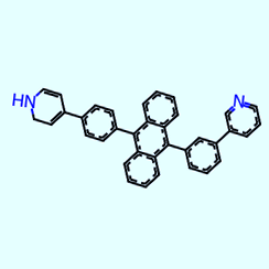 C1=CC(c2ccc(-c3c4ccccc4c(-c4cccc(-c5cccnc5)c4)c4ccccc34)cc2)=CCN1